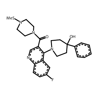 CSN1CCN(C(=O)c2cnc3ccc(F)cc3c2N2CCC(O)(c3ccccc3)CC2)CC1